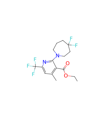 CCOC(=O)c1c(C)cc(C(F)(F)F)nc1N1CCCC(F)(F)CC1